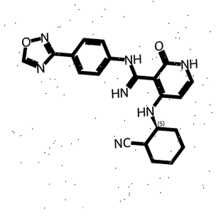 N#CC1CCCC[C@@H]1Nc1cc[nH]c(=O)c1C(=N)Nc1ccc(-c2ncon2)cc1